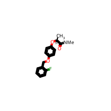 CNC(=O)[C@H](C)Oc1ccc(OCc2ccccc2F)cc1